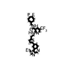 CCn1cnc2cnc3ccc(-c4ccc(CCNc5ncc(C(F)(F)F)cc5C(=O)NCC5=CC=C(F)C(F)=CC5)s4)cc3c21